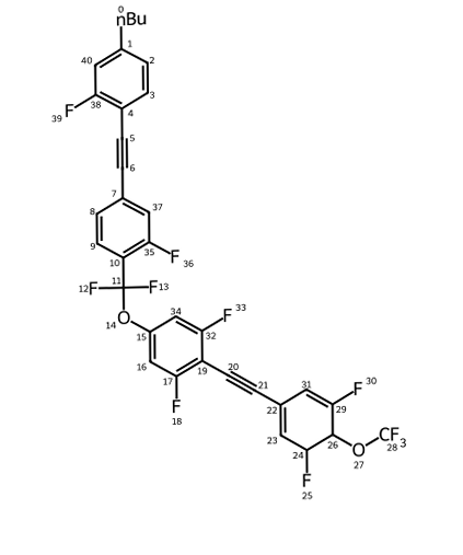 CCCCc1ccc(C#Cc2ccc(C(F)(F)Oc3cc(F)c(C#CC4=CC(F)C(OC(F)(F)F)C(F)=C4)c(F)c3)c(F)c2)c(F)c1